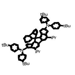 CC(C)c1cc2c(c3ccc(N(c4ccc(C(C)(C)C)cc4)c4ccc(C(C)(C)C)cc4)cc13)C1(c3ccccc3-c3ccccc31)c1c-2cc(C(C)C)c2cc(N(c3ccc(C(C)(C)C)cc3)c3ccc(C(C)(C)C)cc3)ccc12